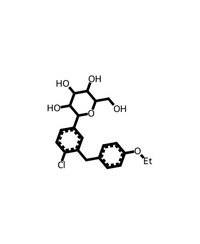 CCOc1ccc(Cc2cc(C3OC(CO)C(O)C(O)C3O)ccc2Cl)cc1